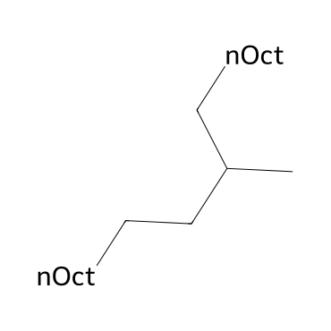 CCCCCCCCCCC(C)CCCCCCCCC